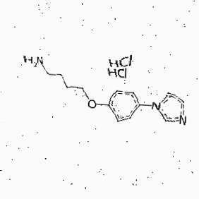 Cl.Cl.NCCCCOc1ccc(-n2ccnc2)cc1